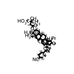 CC(C)C1=C2[C@H]3CC[C@@H]4[C@@]5(C)CC[C@H](OC(=O)CC(C)(C)C(=O)O)C(C)(C)[C@@H]5CC[C@@]4(C)[C@]3(C)CC[C@@]2(c2nnc(-c3ccc(C#N)cn3)o2)CC1=O